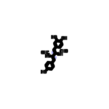 O=CNC(=C\c1ccc(O)cc1)/C(=C/c1ccc(O)c(O)c1)NC=O